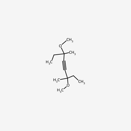 CCC(C)(C#CC(C)(CC)OC)OC